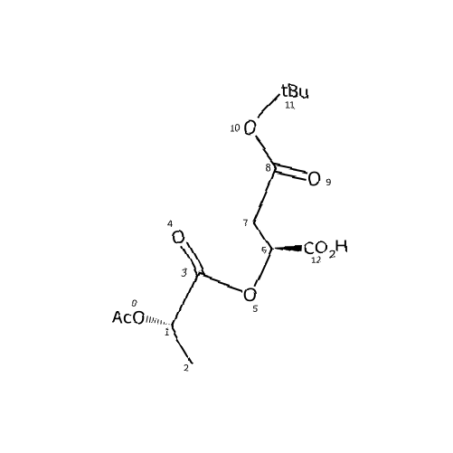 CC(=O)O[C@@H](C)C(=O)O[C@@H](CC(=O)OC(C)(C)C)C(=O)O